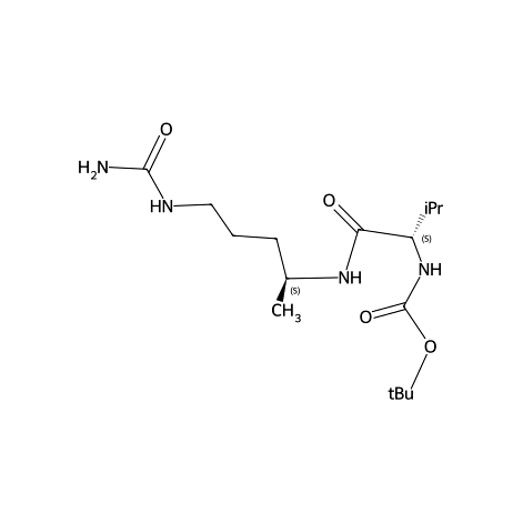 CC(C)[C@H](NC(=O)OC(C)(C)C)C(=O)N[C@@H](C)CCCNC(N)=O